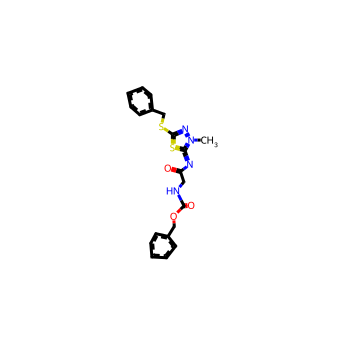 Cn1nc(SCc2ccccc2)sc1=NC(=O)CNC(=O)OCc1ccccc1